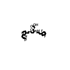 COc1ccc2nccc(/C=C/[C@@H]3CC[C@@H](NC/C=C/c4cc(F)ccc4F)[C@@H](CC(=O)O)O3)c2n1